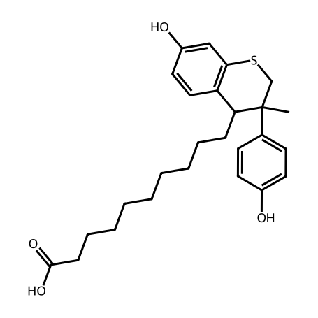 CC1(c2ccc(O)cc2)CSc2cc(O)ccc2C1CCCCCCCCCC(=O)O